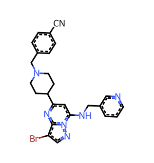 N#Cc1ccc(CN2CCC(c3cc(NCc4cccnc4)n4ncc(Br)c4n3)CC2)cc1